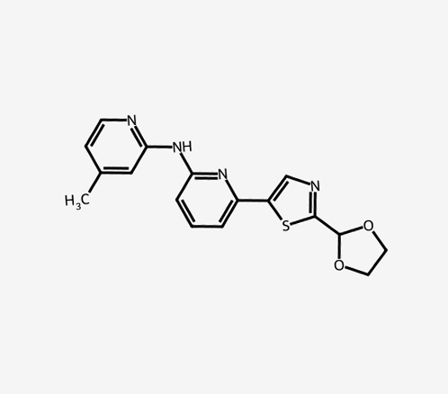 Cc1ccnc(Nc2cccc(-c3cnc(C4OCCO4)s3)n2)c1